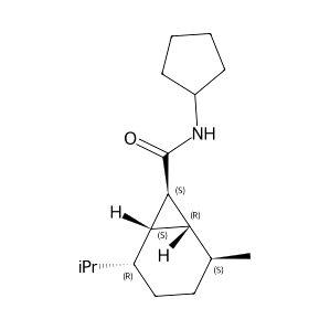 CC(C)[C@H]1CC[C@H](C)[C@H]2[C@H](C(=O)NC3CCCC3)[C@H]21